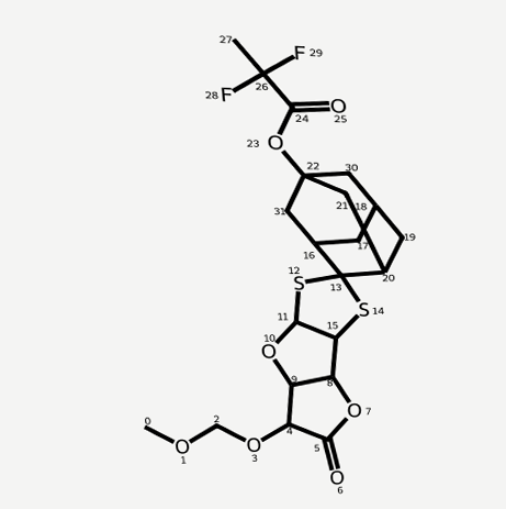 COCOC1C(=O)OC2C1OC1SC3(SC12)C1CC2CC3CC(OC(=O)C(C)(F)F)(C2)C1